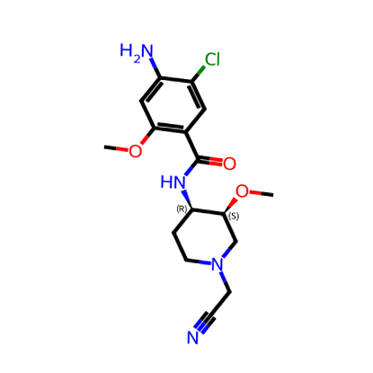 COc1cc(N)c(Cl)cc1C(=O)N[C@@H]1CCN(CC#N)C[C@@H]1OC